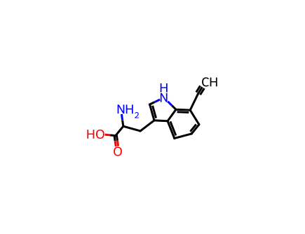 C#Cc1cccc2c(CC(N)C(=O)O)c[nH]c12